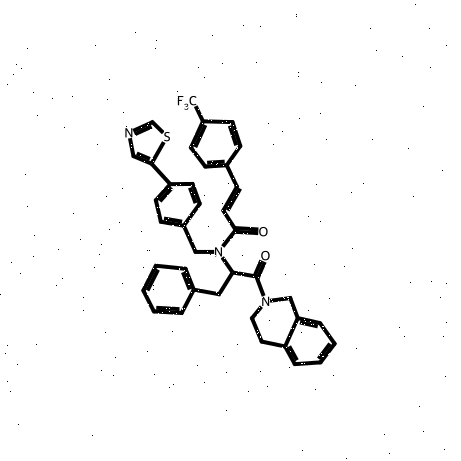 O=C(C(Cc1ccccc1)N(Cc1ccc(-c2cncs2)cc1)C(=O)C=Cc1ccc(C(F)(F)F)cc1)N1CCc2ccccc2C1